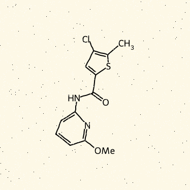 COc1cccc(NC(=O)c2cc(Cl)c(C)s2)n1